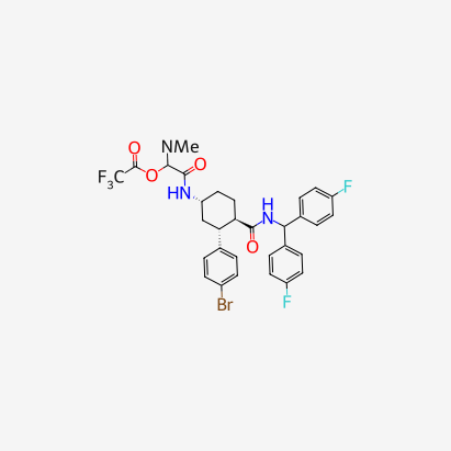 CNC(OC(=O)C(F)(F)F)C(=O)N[C@@H]1CC[C@@H](C(=O)NC(c2ccc(F)cc2)c2ccc(F)cc2)[C@H](c2ccc(Br)cc2)C1